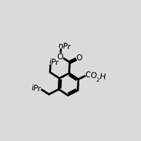 CCCOC(=O)c1c(C(=O)O)ccc(CC(C)C)c1CC(C)C